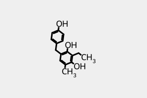 CCc1c(O)c(C)cc(Cc2ccc(O)cc2)c1O